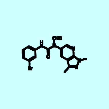 Cc1nn(C)c2ncc(N(C=O)C(=O)Nc3cccc(Br)c3)cc12